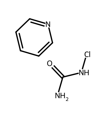 NC(=O)NCl.c1ccncc1